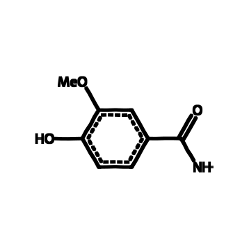 COc1cc(C([NH])=O)ccc1O